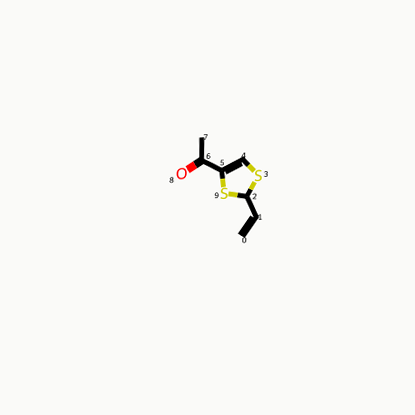 C=CC1SC=C(C(C)=O)S1